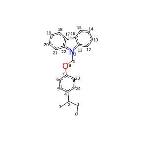 CCC(C)c1ccc(OCn2c3ccccc3c3ccccc32)cc1